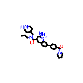 CCCN(CC1CCNCC1)C(=O)C1=Cc2ccc(-c3ccc(C(=O)N4CCCC4)cc3)cc2N=C(N)C1